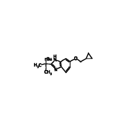 CCCCC(C)(C)c1nc2ccc(OCC3CC3)cc2[nH]1